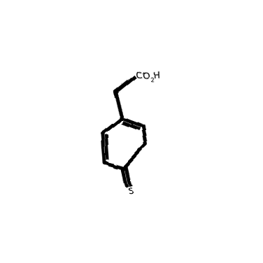 O=C(O)CC1=CCC(=S)C=C1